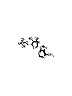 Nc1ncnc2c1ncn2[C@@H]1O[C@H](COP(O)(O)=S)[C@@H](O)[C@]1(O)F